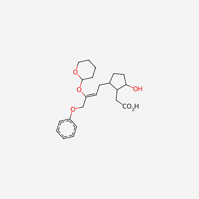 O=C(O)CC1C(O)CCC1C/C=C(/COc1ccccc1)OC1CCCCO1